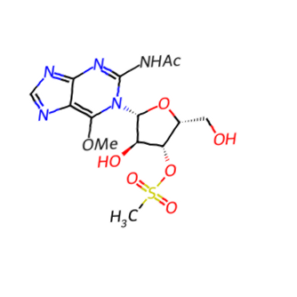 COc1c2ncnc-2nc(NC(C)=O)n1[C@@H]1O[C@H](CO)[C@H](OS(C)(=O)=O)[C@H]1O